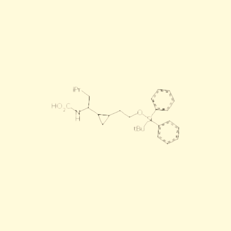 CC(C)CC(NC(=O)O)C1CC1CCO[Si](c1ccccc1)(c1ccccc1)C(C)(C)C